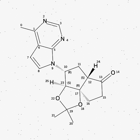 Cc1ncnc2c1ccn2[C@@H]1C[C@@H]2C(=O)CC[C@@]23OC(C)(C)O[C@@H]13